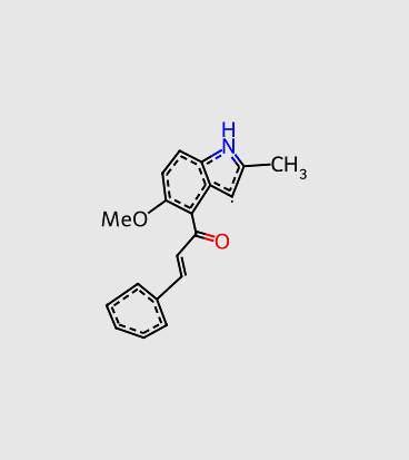 COc1ccc2[nH]c(C)[c]c2c1C(=O)C=Cc1ccccc1